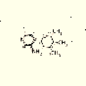 C[C@H]1[C@H](C)C[C@H](c2ccncc2N)O[C@@H]1C